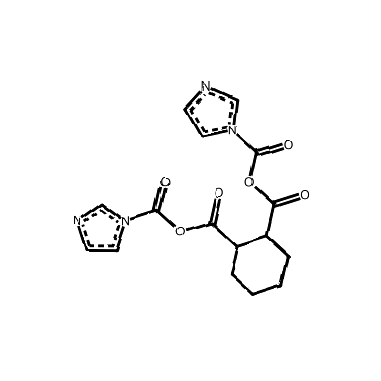 O=C(OC(=O)n1ccnc1)C1CCCCC1C(=O)OC(=O)n1ccnc1